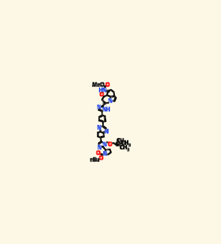 CCCCOC(=O)N1CCCC1c1ncc(-c2ccc3nc(-c4ccc(-c5cnc([C@H]6CC(=O)C7c8c(ccn8C6)CC[C@@H]7NC(=O)OC)[nH]5)cc4)cnc3c2)n1COCC[Si](C)(C)C